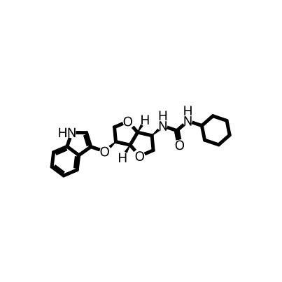 O=C(NC1CCCCC1)N[C@H]1CO[C@H]2[C@@H]1OC[C@@H]2Oc1c[nH]c2ccccc12